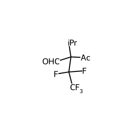 CC(=O)C(C=O)(C(C)C)C(F)(F)C(F)(F)F